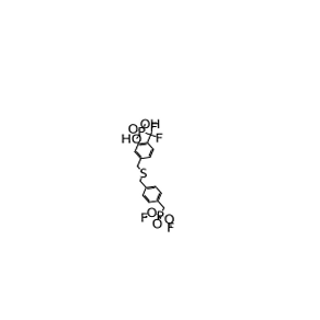 O=P(Cc1ccc(CSCc2ccc(C(F)(F)P(=O)(O)O)cc2)cc1)(OF)OF